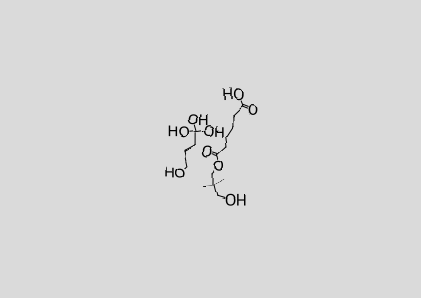 CC(C)(CO)COC(=O)CCCCC(=O)O.OCCCC(O)(O)O